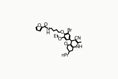 CCCC1CC(=O)C2=C(C1)NC(C)=C(C#N)C2c1cc(Br)c(OCCCCNC(=O)c2ccco2)c(OCC)c1